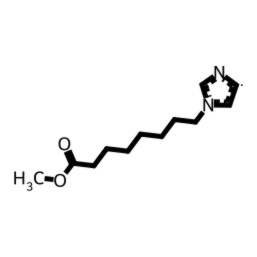 COC(=O)CCCCCCCn1c[c]nc1